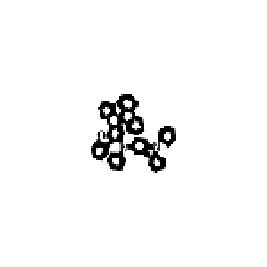 c1ccc(N(c2ccc3c(c2)c2ccccc2n3-c2ccccc2)c2cc3c(c4oc5ccccc5c24)-c2ccccc2C32c3ccccc3-c3ccccc32)cc1